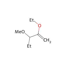 C=C(OCC)C(CC)OC